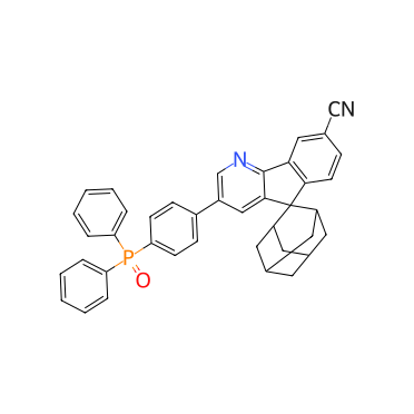 N#Cc1ccc2c(c1)-c1ncc(-c3ccc(P(=O)(c4ccccc4)c4ccccc4)cc3)cc1C21C2CC3CC(C2)CC1C3